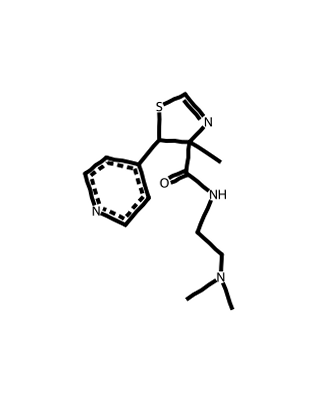 CN(C)CCNC(=O)C1(C)N=CSC1c1ccncc1